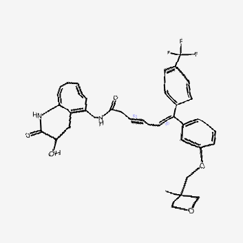 CC1(COc2cccc(/C(=C/C=C/C(=O)Nc3cccc4c3CC(O)C(=O)N4)c3ccc(C(F)(F)F)cc3)c2)COC1